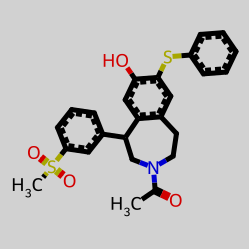 CC(=O)N1CCc2cc(Sc3ccccc3)c(O)cc2C(c2cccc(S(C)(=O)=O)c2)C1